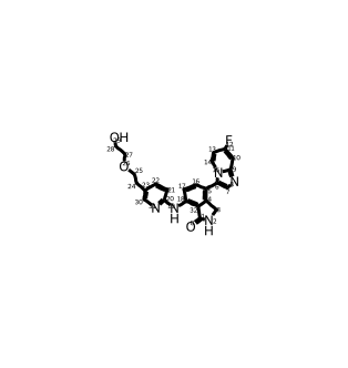 O=C1NCc2c(-c3cnc4cc(F)ccn34)ccc(Nc3ccc(CCOCCO)cn3)c21